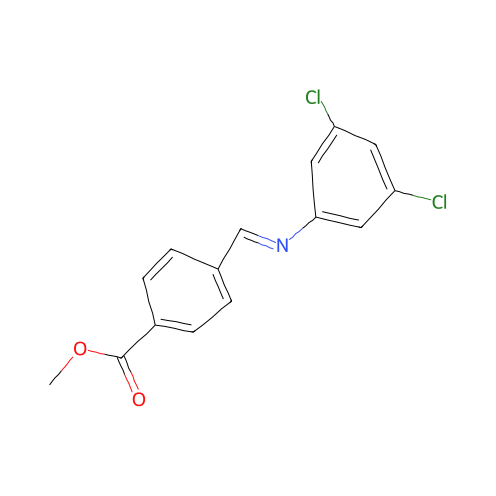 COC(=O)c1ccc(C=Nc2cc(Cl)cc(Cl)c2)cc1